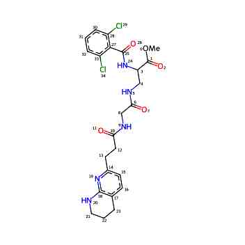 COC(=O)C(CNC(=O)CNC(=O)CCc1ccc2c(n1)NCCC2)NC(=O)c1c(Cl)cccc1Cl